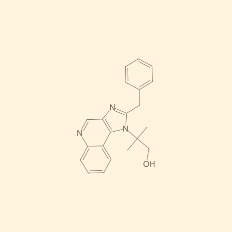 CC(C)(CO)n1c(Cc2ccccc2)nc2cnc3ccccc3c21